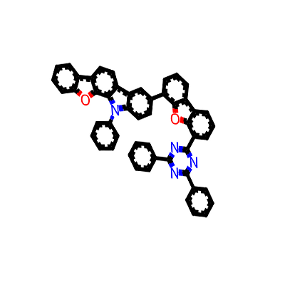 c1ccc(-c2nc(-c3ccccc3)nc(-c3cccc4c3oc3c(-c5ccc6c(c5)c5ccc7c8ccccc8oc7c5n6-c5ccccc5)cccc34)n2)cc1